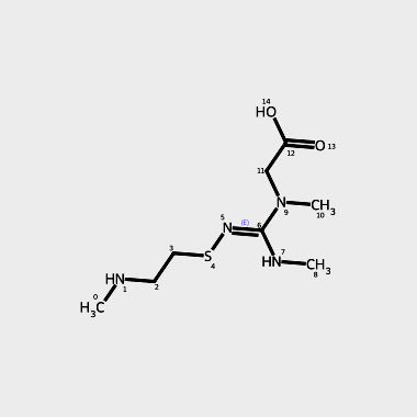 CNCCS/N=C(\NC)N(C)CC(=O)O